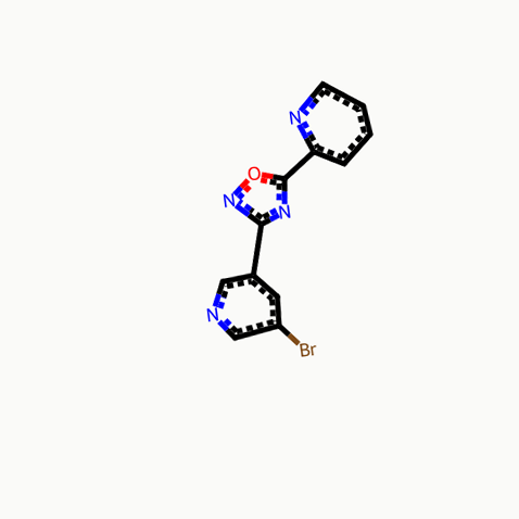 Brc1cncc(-c2noc(-c3ccccn3)n2)c1